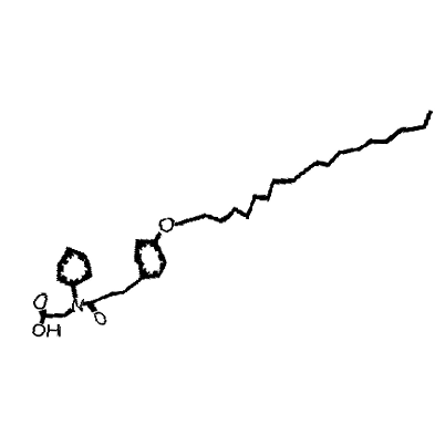 CCCCCCCCCCCCCCCCCCOc1ccc(CCC(=O)N(CC(=O)O)c2ccccc2)cc1